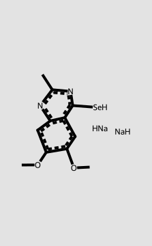 COc1cc2nc(C)nc([SeH])c2cc1OC.[NaH].[NaH]